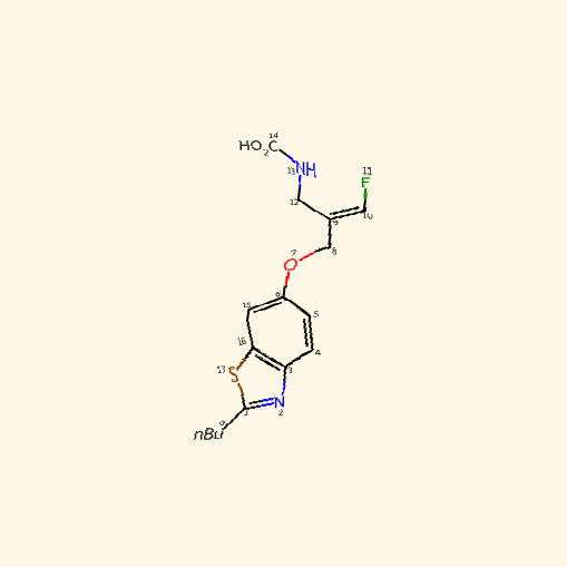 CCCCc1nc2ccc(OCC(=CF)CNC(=O)O)cc2s1